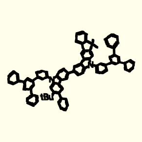 CC(C)(C)c1cc2c(cc1-c1ccccc1)c1cc(-c3ccc4c(c3)c3cc5c(cc3n4-c3cccc(-c4cc(-c6ccccc6)cc(-c6ccccc6)c4)c3)C(C)(C)c3ccccc3-5)ccc1n2-c1cccc(-c2cc(-c3ccccc3)cc(-c3ccccc3)c2)c1